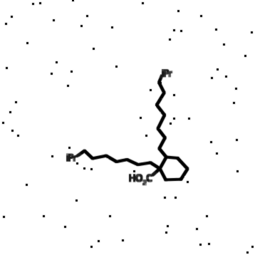 CC(C)CCCCCCCC1CCCCC1(CCCCCCCC(C)C)C(=O)O